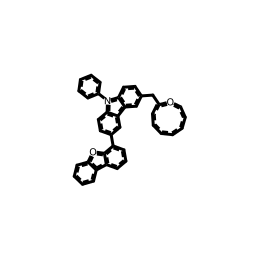 c1cccoc(Cc2ccc3c(c2)c2cc(-c4cccc5c4oc4ccccc45)ccc2n3-c2ccccc2)ccc1